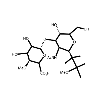 CO[C@@H]1C(C(=O)O)O[C@@H](OC2C(NC(C)=O)[C@H](C(C)(C)C(C)(C)OC)OC(CO)[C@H]2O)C(O)C1O